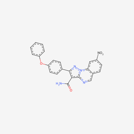 NC(=O)c1c(-c2ccc(Oc3ccccc3)cc2)nn2c1ncc1ccc([N+](=O)[O-])cc12